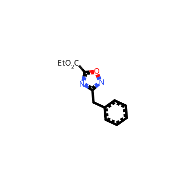 CCOC(=O)c1nc(Cc2ccccc2)no1